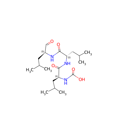 CC(C)C[C@@H](C=O)NC(=O)[C@H](CC(C)C)NC(=O)[C@H](CC(C)C)NC(=O)O